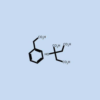 O=C(O)CC(O)(CC(=O)O)C(=O)O.O=C(O)Cc1ccccc1